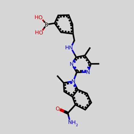 Cc1nc(-n2c(C)cc3c(C(N)=O)cccc32)nc(NCc2cccc(B(O)O)c2)c1C